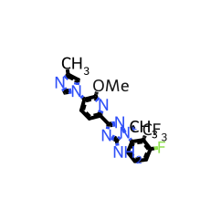 COc1nc(C2=N[N+](C)(c3cccc(F)c3C(F)(F)F)C(N)=N2)ccc1-n1cnc(C)c1